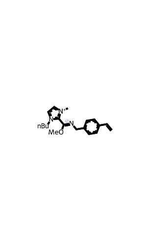 C=Cc1ccc(C/N=C(\OC)c2n(CCCC)cc[n+]2C)cc1